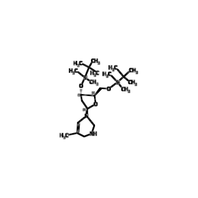 CC1=CN([C@H]2C[C@H](O[Si](C)(C)C(C)(C)C)[C@@H](CO[Si](C)(C)C(C)(C)C)O2)CNC1